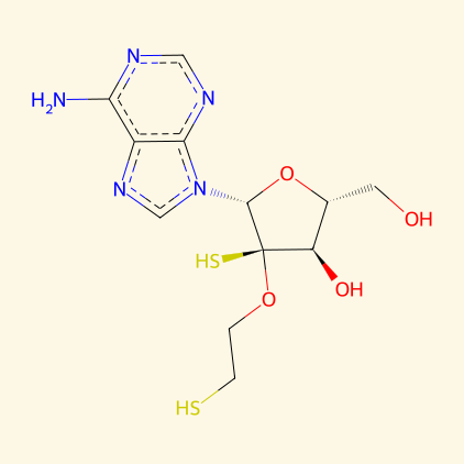 Nc1ncnc2c1ncn2[C@@H]1O[C@H](CO)[C@@H](O)[C@]1(S)OCCS